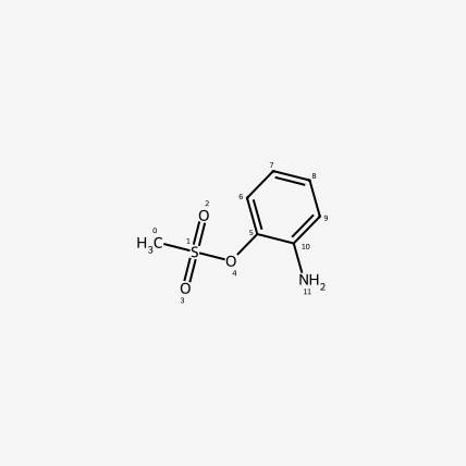 CS(=O)(=O)Oc1ccccc1N